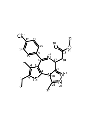 CCc1sc2c(c1C)C(c1ccc(Cl)cc1)=NC(CC(=O)OC)c1nnc(C)n1-2